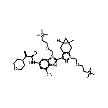 C=C(C(=O)Nc1cc(C#N)c2nc(-c3nn(COCC[Si](C)(C)C)c4c3C[C@@H]3C[C@]3(C)C4)n(COCC[Si](C)(C)C)c2c1)C1CCOCC1